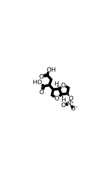 O=C(O)CC(C(=O)O)C1CO[C@H]2[C@@H]1OC[C@H]2O[N+](=O)[O-]